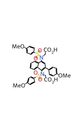 COc1ccc(-c2cc(N(CC(=O)O)S(=O)(=O)c3ccc(OC)cc3)c3ccccc3c2N(CC(=O)O)S(=O)(=O)c2ccc(OC)cc2)cc1